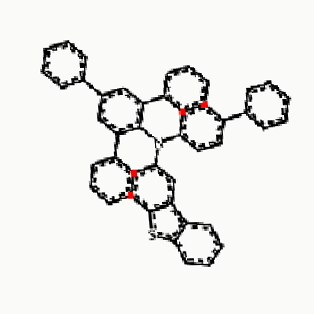 c1ccc(-c2ccc(N(c3ccc4sc5ccccc5c4c3)c3c(-c4ccccc4)cc(-c4ccccc4)cc3-c3ccccc3)cc2)cc1